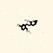 C=Cc1ccc(Cl)cc1CCc1cccnc1C